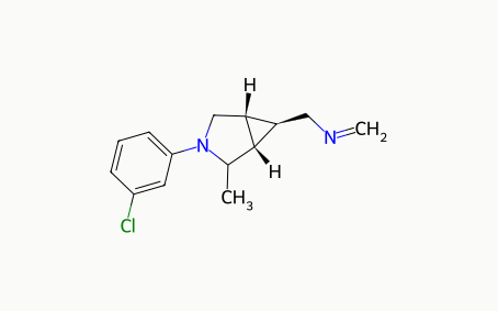 C=NC[C@@H]1[C@H]2CN(c3cccc(Cl)c3)C(C)[C@@H]12